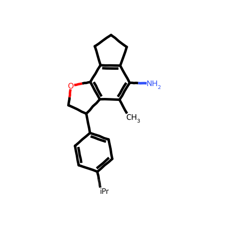 Cc1c(N)c2c(c3c1C(c1ccc(C(C)C)cc1)CO3)CCC2